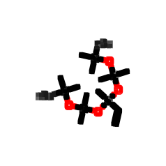 C=C[Si](C)(O[Si](C)(C)O[Si](C)(C)CCCC)O[Si](C)(C)O[Si](C)(C)CCCC